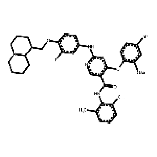 CCCc1ccc(Oc2nc(Nc3ccc(OCC4CCCN5CCCCC45)c(F)c3)ncc2C(=O)Nc2c(C)cccc2C)c(OC)c1